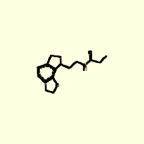 CCC(=O)NCC[C@@H]1CCc2ccc3c(c21)OCC3